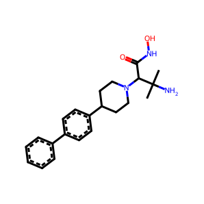 CC(C)(N)C(C(=O)NO)N1CCC(c2ccc(-c3ccccc3)cc2)CC1